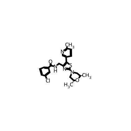 Cc1ccc(-c2sc(N3C[C@@H](C)O[C@@H](C)C3)nc2CNC(=O)c2cccc(Cl)c2)cn1